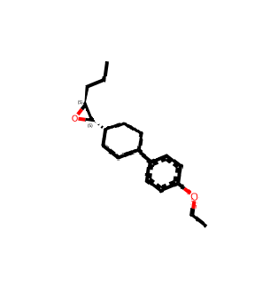 CCC[C@@H]1O[C@H]1C1CCC(c2ccc(OCC)cc2)CC1